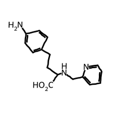 Nc1ccc(CCC(NCc2ccccn2)C(=O)O)cc1